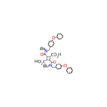 CCC(C)N(Cc1ccc(Oc2ccccc2)cc1)C(=O)C1C(C(=O)O)C(C(=O)N(Cc2ccc(Oc3ccccc3)cc2)C(C)CC)C1C(=O)O